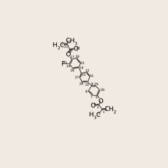 C=C(C)C(=O)Oc1ccc(-c2ccc(-c3ccc(OC(=O)C(=C)C)c(F)c3)cc2)cc1